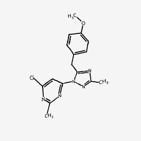 COc1ccc(Cc2nc(C)nn2-c2cc(Cl)nc(C)n2)cc1